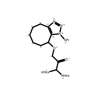 CCCCCCC(CCCCCC)C(=O)COC1CCCCCc2nnn(CCC)c21